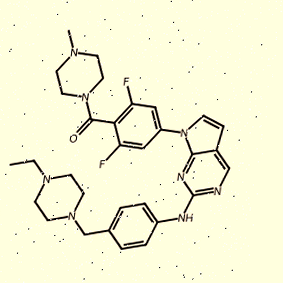 CCN1CCN(Cc2ccc(Nc3ncc4ccn(-c5cc(F)c(C(=O)N6CCN(C)CC6)c(F)c5)c4n3)cc2)CC1